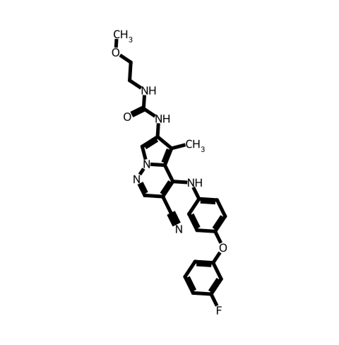 COCCNC(=O)Nc1cn2ncc(C#N)c(Nc3ccc(Oc4cccc(F)c4)cc3)c2c1C